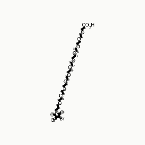 O=C(O)CCOCCOCCOCCOCCOCCOCCOCCOCCOCCOCCOCCCN1C(=O)C(Br)=C(Br)C1=O